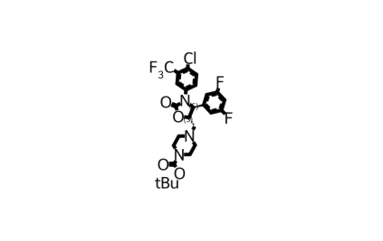 CC(C)(C)OC(=O)N1CCN(C[C@@H]2OC(=O)N(c3ccc(Cl)c(C(F)(F)F)c3)[C@H]2c2cc(F)cc(F)c2)CC1